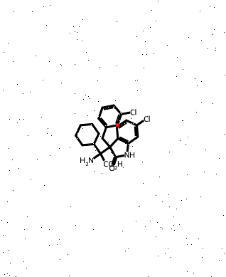 NC(C(=O)O)(C1CCCCC1)C1(Cc2cccc(Cl)c2)C(=O)Nc2cc(Cl)ccc21